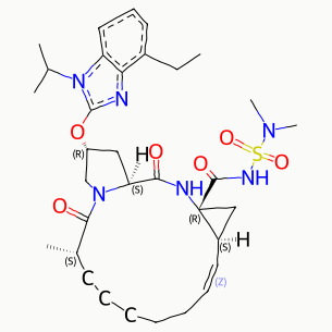 CCc1cccc2c1nc(O[C@@H]1C[C@H]3C(=O)N[C@]4(C(=O)NS(=O)(=O)N(C)C)C[C@H]4/C=C\CCCCC[C@H](C)C(=O)N3C1)n2C(C)C